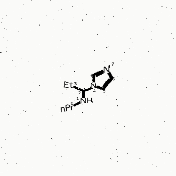 CCCNC(CC)n1ccnc1